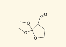 COC1(OC)OCCC1C=O